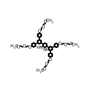 COCCOCCOc1ccc(-c2cc(C3=CC=C(c4cc(-c5ccc(OCCOCCOC)cc5)cc(-c5ccc(OCCOCCOC)cc5)c4)C(=N)C3=N)cc(-c3ccc(OCCOCCOC)cc3)c2)cc1